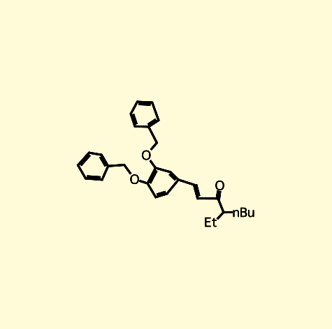 CCCCC(CC)C(=O)C=Cc1ccc(OCc2ccccc2)c(OCc2ccccc2)c1